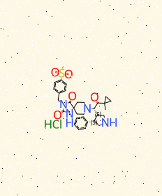 CC1(C(=O)C([C@@H]2CNC[C@@H]2c2ccccc2)N2CCC3(CC2)NC(=O)N(Cc2ccc(S(C)(=O)=O)cc2)C3=O)CC1.Cl